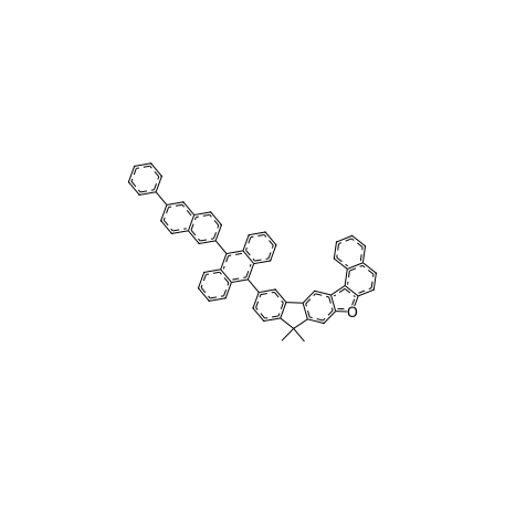 CC1(C)c2ccc(-c3c4ccccc4c(-c4ccc5cc(-c6ccccc6)ccc5c4)c4ccccc34)cc2-c2cc3c(cc21)oc1ccc2ccccc2c13